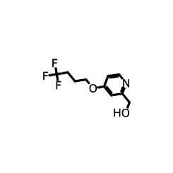 OCc1cc(OCCCC(F)(F)F)ccn1